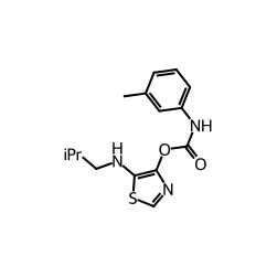 Cc1cccc(NC(=O)Oc2ncsc2NCC(C)C)c1